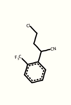 N#CC(CCCl)c1ccccc1C(F)(F)F